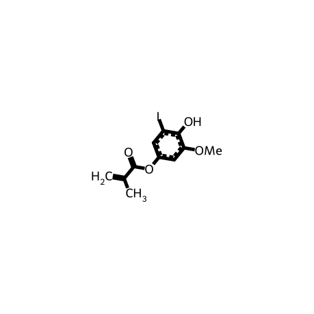 C=C(C)C(=O)Oc1cc(I)c(O)c(OC)c1